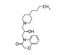 CCCCC1CCN(C[C@@H](O)CN2C(=O)COc3ccccc32)CC1